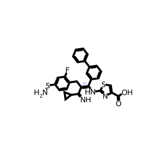 N=C(/C(Cc1ccc(SN)cc1F)=C(\Nc1nc(C(=O)O)cs1)c1cccc(-c2ccccc2)c1)C1CC1